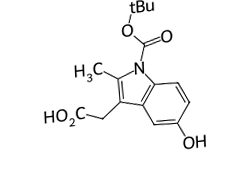 Cc1c(CC(=O)O)c2cc(O)ccc2n1C(=O)OC(C)(C)C